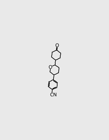 N#Cc1ccc(C2CCC(C3CCC(=O)CC3)OC2)cc1